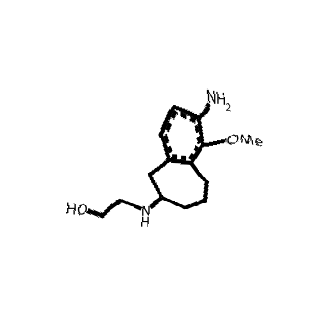 COc1c(N)ccc2c1CCCC(NCCO)C2